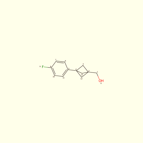 OCC12CC(c3ccc(F)cc3)(C1)C2